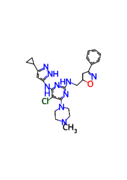 CN1CCN(c2nc(NCC3CC(c4ccccc4)=NO3)nc(Nc3cc(C4CC4)n[nH]3)c2Cl)CC1